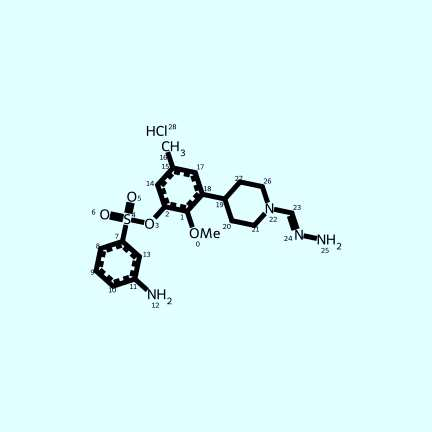 COc1c(OS(=O)(=O)c2cccc(N)c2)cc(C)cc1C1CCN(C=NN)CC1.Cl